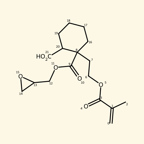 C=C(C)C(=O)OCCC1(C(=O)OCC2CO2)CCCCC1C(=O)O